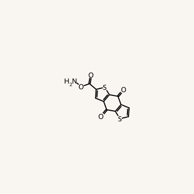 NOC(=O)c1cc2c(s1)C(=O)c1ccsc1C2=O